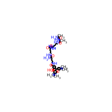 CC(NC(=O)[C@H](C)N)C(=O)NCCCCCC(=O)NC(CCCCNC(=O)[C@@H](N)CCCCNC(=O)c1ccc(-c2c3ccc(=[N+](C)C)cc-3oc3cc(N(C)C)ccc23)c(C(=O)O)c1)C(N)=O